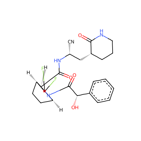 N#C[C@H](C[C@H]1CCCNC1=O)NC(=O)[C@@H]1[C@@H]2CC[C@@H](CC2(F)F)N1C(=O)[C@@H](O)c1ccccc1